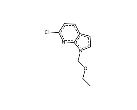 [CH2]COCn1ccc2ccc(Cl)nc21